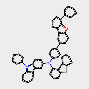 c1ccc(-c2cccc3c2oc2ccc(-c4ccc(N(c5ccc6c(c5)c5ccccc5n6-c5ccccc5)c5cccc6sc7ccccc7c56)cc4)cc23)cc1